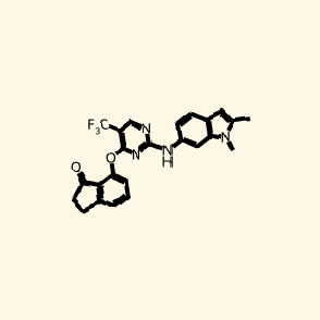 Cc1cc2ccc(Nc3ncc(C(F)(F)F)c(Oc4cccc5c4C(=O)CC5)n3)cc2n1C